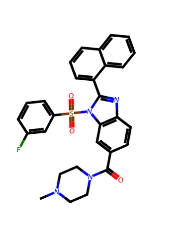 CN1CCN(C(=O)c2ccc3nc(-c4cccc5ccccc45)n(S(=O)(=O)c4cccc(F)c4)c3c2)CC1